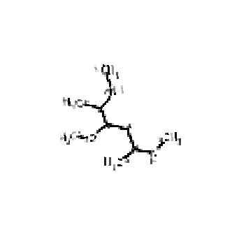 CNC(C)CC(OC)C(C)NC